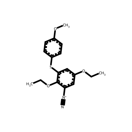 CCOc1cc([N+]#N)c(OCC)c(Sc2ccc(OC)cc2)c1